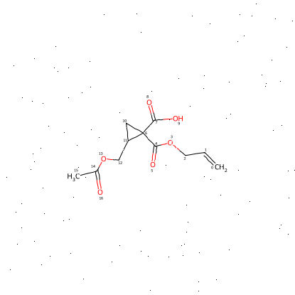 C=CCOC(=O)C1(C(=O)O)CC1COC(C)=O